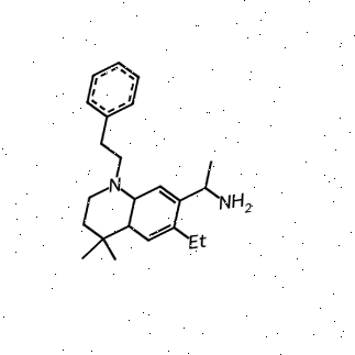 CCC1=CC2C(C=C1C(C)N)N(CCc1ccccc1)CCC2(C)C